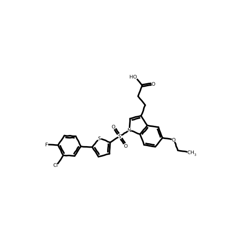 CCOc1ccc2c(c1)c(CCC(=O)O)cn2S(=O)(=O)c1ccc(-c2ccc(F)c(Cl)c2)s1